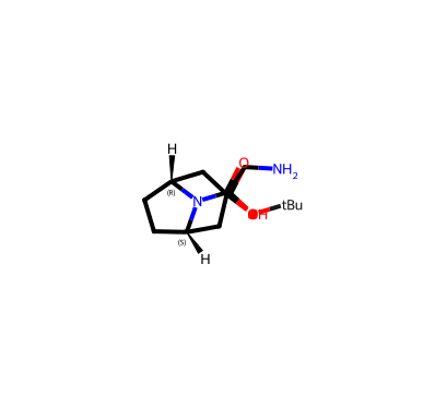 CC(C)(C)OC(=O)N1[C@@H]2CC[C@H]1CC(O)(CN)C2